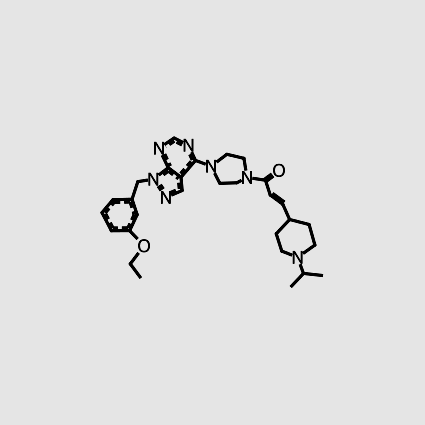 CCOc1cccc(Cn2ncc3c(N4CCN(C(=O)/C=C/C5CCN(C(C)C)CC5)CC4)ncnc32)c1